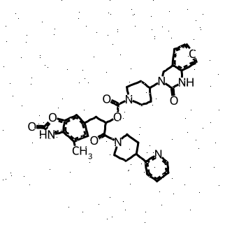 Cc1cc(CC(OC(=O)N2CCC(N3Cc4ccccc4NC3=O)CC2)C(=O)N2CCC(c3ccccn3)CC2)cc2oc(=O)[nH]c12